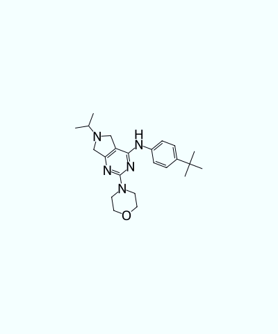 CC(C)N1Cc2nc(N3CCOCC3)nc(Nc3ccc(C(C)(C)C)cc3)c2C1